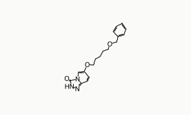 O=c1[nH]nc2ccc(OCCCCCOCc3ccccc3)cn12